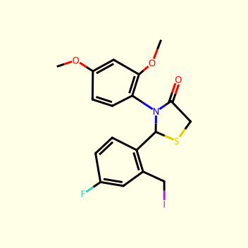 COc1ccc(N2C(=O)CSC2c2ccc(F)cc2CI)c(OC)c1